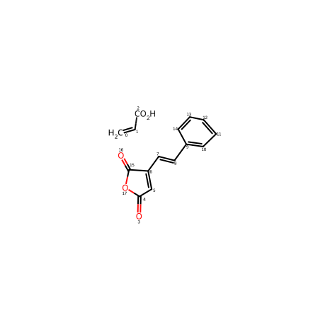 C=CC(=O)O.O=C1C=C(C=Cc2ccccc2)C(=O)O1